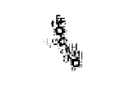 Cc1cc(NC(=O)NC(=O)c2ccccc2Cl)sc1-c1ccc(C(F)(F)F)cc1